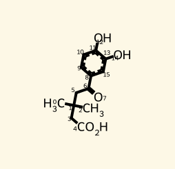 CC(C)(CC(=O)O)CC(=O)c1ccc(O)c(O)c1